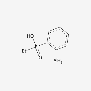 CCP(=O)(O)c1ccccc1.[AlH3]